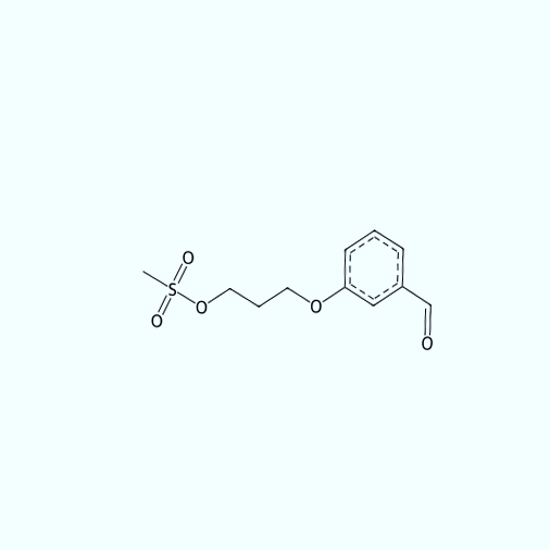 CS(=O)(=O)OCCCOc1cccc(C=O)c1